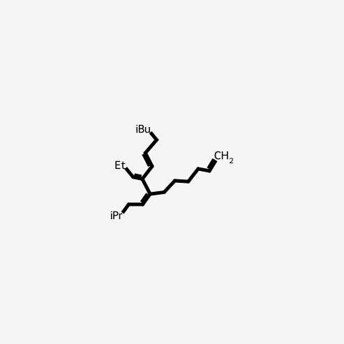 C=CCCCCC(=CCC(C)C)C(C=CCC(C)CC)=CCC